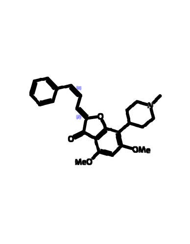 COc1cc(OC)c(C2CCN(C)CC2)c2c1C(=O)/C(=C/C=C\c1ccccc1)O2